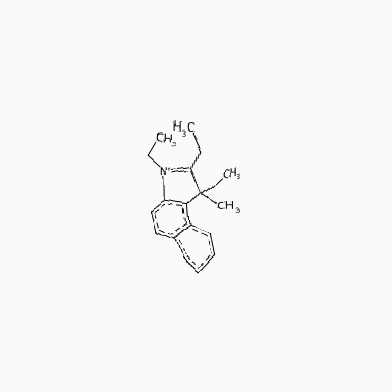 CCC1=[N+](CC)c2ccc3ccccc3c2C1(C)C